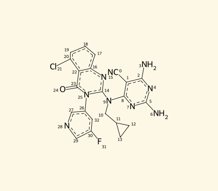 N#Cc1c(N)nc(N)nc1N(CC1CC1)c1nc2cccc(Cl)c2c(=O)n1-c1cncc(F)c1